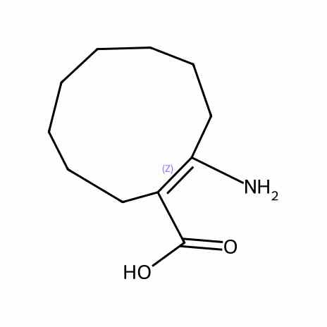 N/C1=C(\C(=O)O)CCCCCCCC1